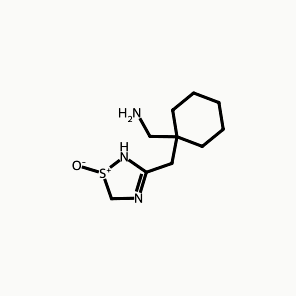 NCC1(CC2=NC[S+]([O-])N2)CCCCC1